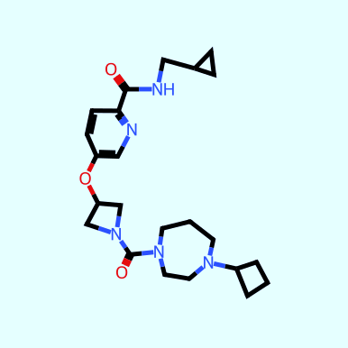 O=C(NCC1CC1)c1ccc(OC2CN(C(=O)N3CCCN(C4CCC4)CC3)C2)cn1